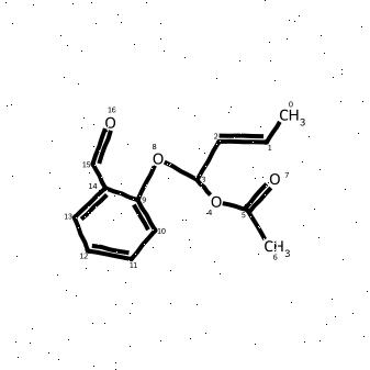 C/C=C/C(OC(C)=O)Oc1ccccc1C=O